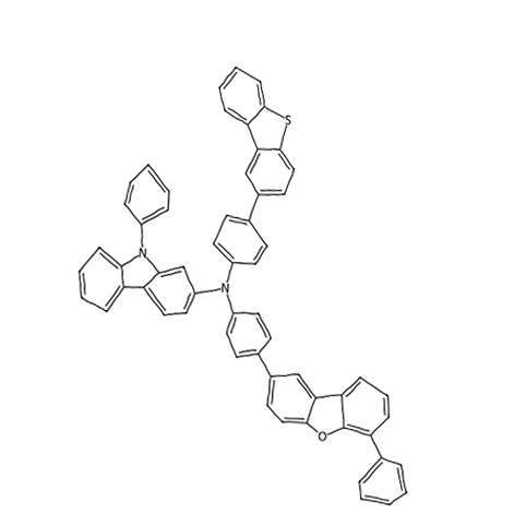 c1ccc(-c2cccc3c2oc2ccc(-c4ccc(N(c5ccc(-c6ccc7sc8ccccc8c7c6)cc5)c5ccc6c7ccccc7n(-c7ccccc7)c6c5)cc4)cc23)cc1